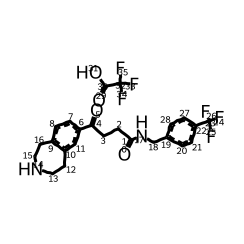 O=C(CCC(=O)c1ccc2c(c1)CCNCC2)NCc1ccc(C(F)(F)F)cc1.O=C(O)C(F)(F)F